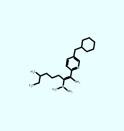 CC(CCC/C(=C(/N)c1ccc(CC2CCCCC2)cn1)N(C)N)CC(F)(F)F